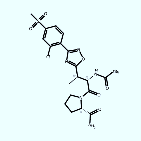 C[C@H](c1nc(-c2ccc(S(C)(=O)=O)cc2Cl)no1)[C@H](NC(=O)C(C)(C)C)C(=O)N1CCC[C@H]1C(N)=O